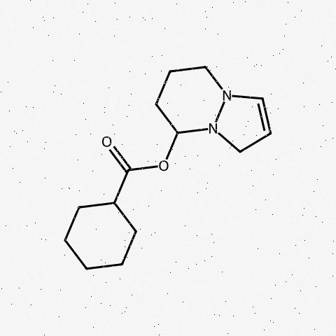 O=C(OC1CCCN2C=CCN12)C1CCCCC1